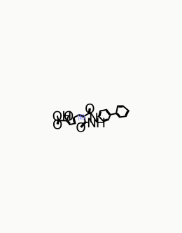 O=C1NN(c2ccc(-c3ccccc3)cc2)C(=O)/C1=C/c1ccc(C(=O)O)o1